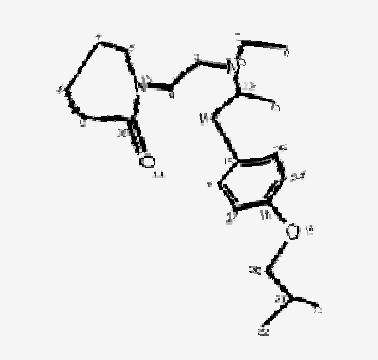 CCN(CCN1CCCCC1=O)C(C)Cc1ccc(OCC(C)C)cc1